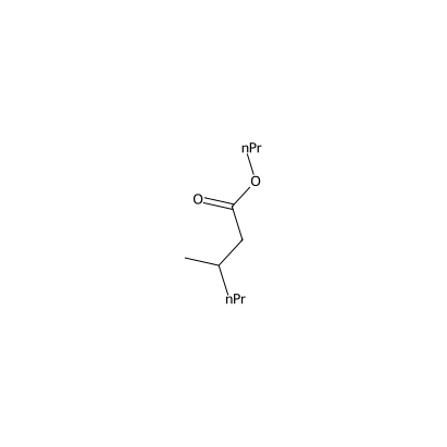 CCCOC(=O)CC(C)CCC